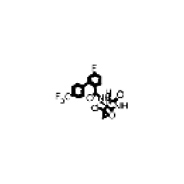 O=C1NC(=O)[C@](CNC(=O)c2ccc(F)cc2-c2ccc(C(F)(F)F)cc2)(C2(Cl)CC2)N1